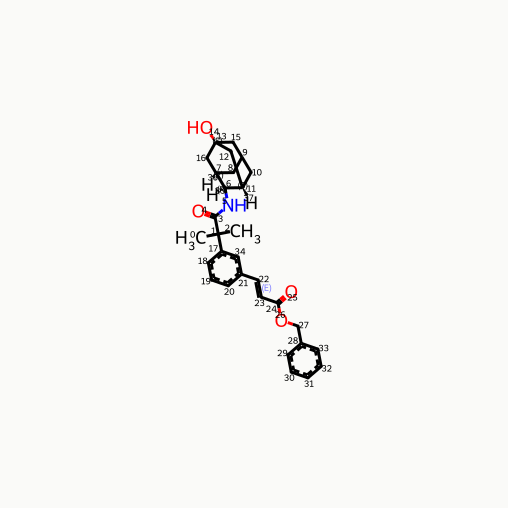 CC(C)(C(=O)N[C@H]1[C@@H]2CC3C[C@H]1C[C@@](O)(C3)C2)c1cccc(/C=C/C(=O)OCc2ccccc2)c1